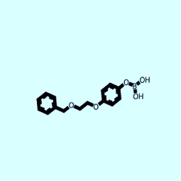 OB(O)Oc1ccc(OCCOCc2ccccc2)cc1